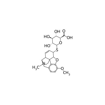 COc1ccc2c3c1OC1C(SC4O[C@H](C(=O)O)[C@@H](O)[C@H](O)[C@H]4O)C=CC4C(C2)N(C)CCC341